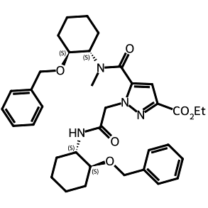 CCOC(=O)c1cc(C(=O)N(C)[C@H]2CCCC[C@@H]2OCc2ccccc2)n(CC(=O)N[C@H]2CCCC[C@@H]2OCc2ccccc2)n1